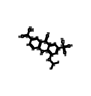 CC(C)Oc1cc(S(=O)(=O)Cl)cc2c(=O)c3cc(C(=O)O)ccc3oc12